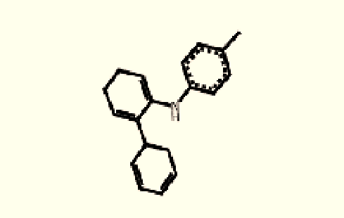 Cc1ccc(NC2=CCCC=C2C2C=CC=CC2)cc1